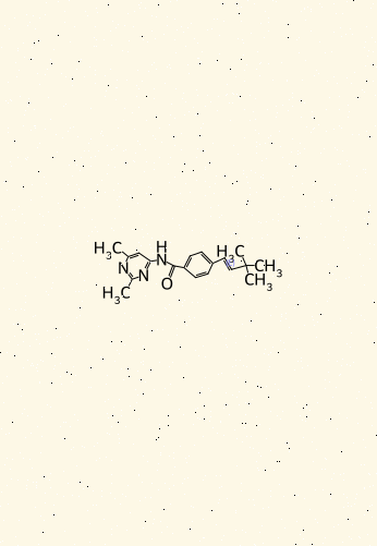 Cc1cc(NC(=O)c2ccc(/C=C/C(C)(C)C)cc2)nc(C)n1